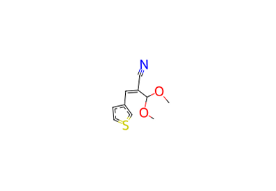 COC(OC)C(C#N)=Cc1ccsc1